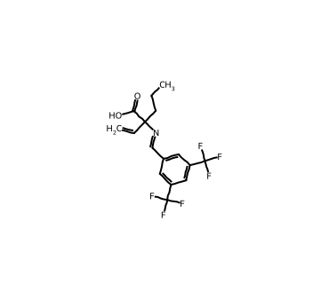 C=CC(CCC)(N=Cc1cc(C(F)(F)F)cc(C(F)(F)F)c1)C(=O)O